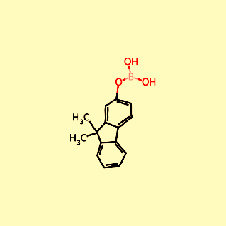 CC1(C)c2ccccc2-c2ccc(OB(O)O)cc21